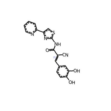 N#C/C(=C\c1ccc(O)c(O)c1)C(=O)Nc1nc(-c2ccccn2)cs1